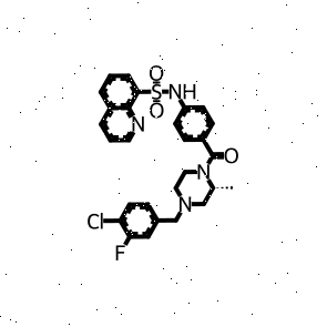 C[C@@H]1CN(Cc2ccc(Cl)c(F)c2)CCN1C(=O)c1ccc(NS(=O)(=O)c2cccc3cccnc23)cc1